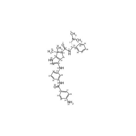 CN(C)C[C@@H](NC(=O)N1Cc2c(Nc3cccc(NC(=O)c4ccc(N)cc4)c3)n[nH]c2C1(C)C)c1ccccc1